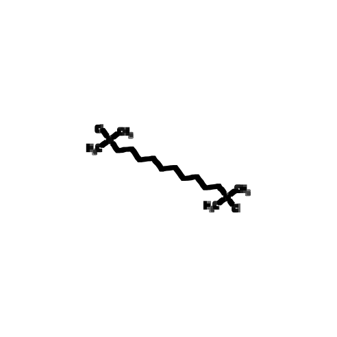 C[Si](C)(Cl)CCCCCCCCCC[Si](C)(C)Cl